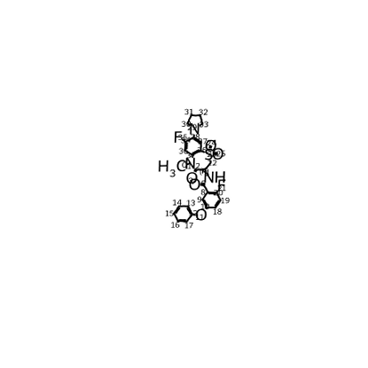 CN1C(=O)[C@@H](NC(=O)c2cc(Oc3ccccc3)ccc2F)CS(=O)(=O)c2cc(N3CCCC3)c(F)cc21